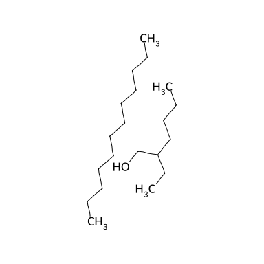 CCCCC(CC)CO.CCCCCCCCCCCC